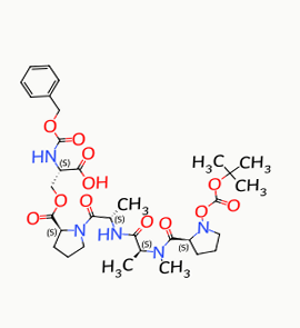 C[C@H](NC(=O)[C@H](C)N(C)C(=O)[C@@H]1CCCN1OC(=O)OC(C)(C)C)C(=O)N1CCC[C@H]1C(=O)OC[C@H](NC(=O)OCc1ccccc1)C(=O)O